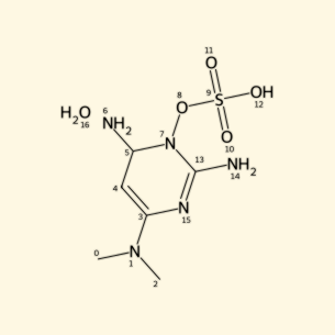 CN(C)C1=CC(N)N(OS(=O)(=O)O)C(N)=N1.O